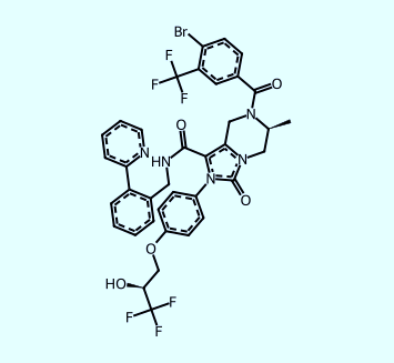 C[C@H]1Cn2c(c(C(=O)NCc3ccccc3-c3ccccn3)n(-c3ccc(OC[C@H](O)C(F)(F)F)cc3)c2=O)CN1C(=O)c1ccc(Br)c(C(F)(F)F)c1